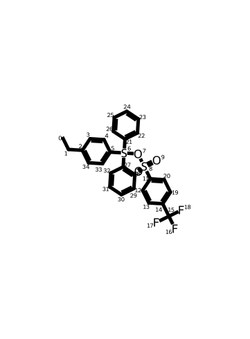 CCc1ccc(S(OS(=O)(=O)c2ccc(C(F)(F)F)cc2)(c2ccccc2)c2ccccc2)cc1